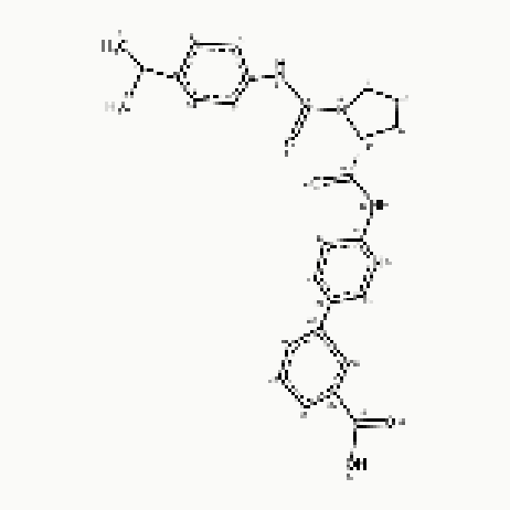 CC(C)c1ccc(NC(=O)N2CCC[C@@H]2C(=O)Nc2ccc(-c3cccc(C(=O)O)c3)cn2)cc1